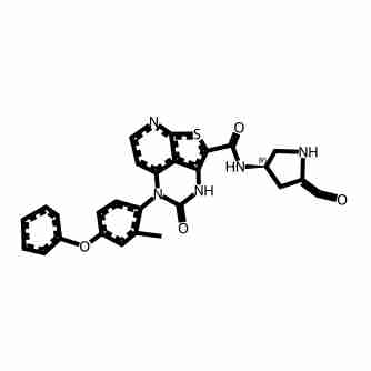 Cc1cc(Oc2ccccc2)ccc1N1C(=O)Nc2c(C(=O)N[C@H]3CNC(=C=O)C3)sc3nccc1c23